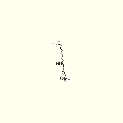 CCCCCCCCCCCCOCC(=O)O.N